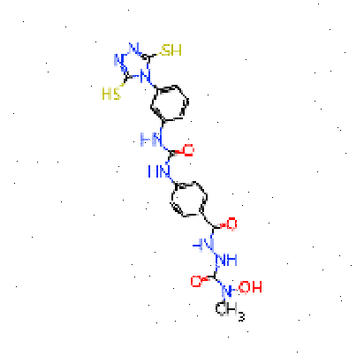 CN(O)C(=O)NNC(=O)c1ccc(NC(=O)Nc2cccc(-n3c(S)nnc3S)c2)cc1